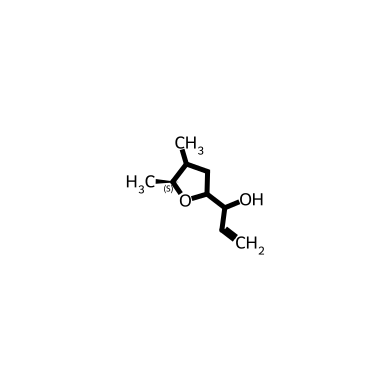 C=CC(O)C1CC(C)[C@H](C)O1